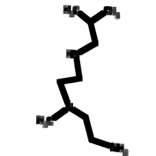 CC(C)CNCCN(C)CCN